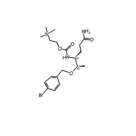 C[C@@H](OCc1ccc(Br)cc1)[C@H](CCC(N)=O)NC(=O)OCC[Si](C)(C)C